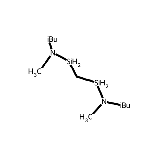 CCC(C)N(C)[SiH2]C[SiH2]N(C)C(C)CC